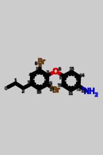 CCCc1cc(Br)c(Oc2ccc(N)cc2)c(Br)c1